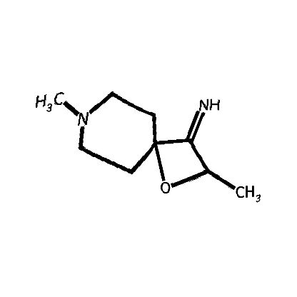 CC1OC2(CCN(C)CC2)C1=N